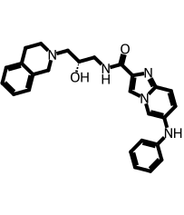 O=C(NC[C@H](O)CN1CCc2ccccc2C1)c1cn2cc(Nc3ccccc3)ccc2n1